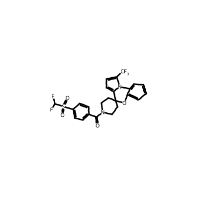 O=C(c1ccc(S(=O)(=O)C(F)F)cc1)N1CCC2(CC1)Oc1ccccc1-n1c(C(F)(F)F)ccc12